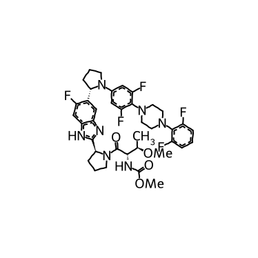 COC(=O)N[C@H](C(=O)N1CCC[C@H]1c1nc2cc([C@@H]3CCCN3c3cc(F)c(N4CCN(c5c(F)cccc5F)CC4)c(F)c3)c(F)cc2[nH]1)[C@@H](C)OC